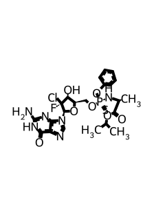 CC(C)OC(=O)[C@@H](C)N[P@](=S)(OC[C@H]1O[C@@H](n2cnc3c(=O)[nH]c(N)nc32)[C@@](F)(Cl)[C@@H]1O)Oc1ccccc1